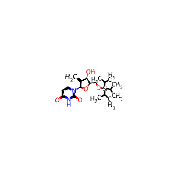 C=C1[C@H](n2ccc(=O)[nH]c2=O)O[C@H](CO[Si](C(C)C)(C(C)C)C(C)C)[C@H]1O